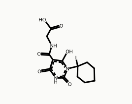 O=C(O)CNC(=O)c1c(O)n(C2(I)CCCCC2)c(=O)[nH]c1=O